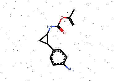 C=C(C)OC(=O)NC1CC1c1ccc(N)cc1